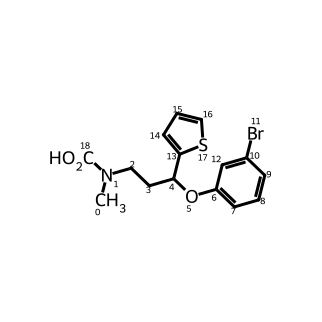 CN(CCC(Oc1cccc(Br)c1)c1cccs1)C(=O)O